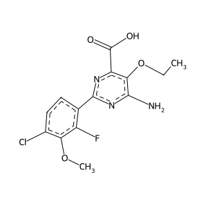 CCOc1c(N)nc(-c2ccc(Cl)c(OC)c2F)nc1C(=O)O